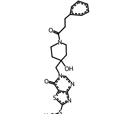 CSc1nc2ncn(CC3(O)CCN(C(=O)CCc4ccccc4)CC3)c(=O)c2s1